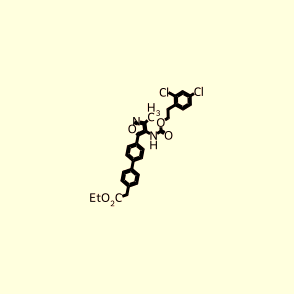 CCOC(=O)Cc1ccc(-c2ccc(-c3onc(C)c3NC(=O)OCCc3ccc(Cl)cc3Cl)cc2)cc1